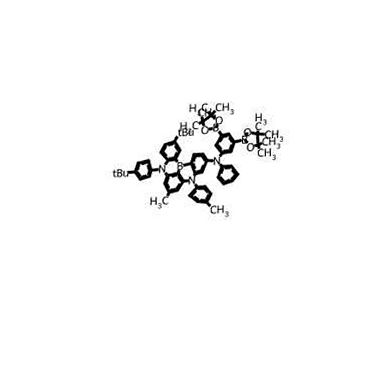 Cc1ccc(N2c3cc(N(c4ccccc4)c4cc(B5OC(C)(C)C(C)(C)O5)cc(B5OC(C)(C)C(C)(C)O5)c4)ccc3B3c4cc(C(C)(C)C)ccc4N(c4ccc(C(C)(C)C)cc4)c4cc(C)cc2c43)cc1